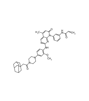 C=CC(=O)Nc1cccc(-n2c(=O)cc(C)c3cnc(Nc4ccc(N5CCN(C(=O)CC67CC8CC(CC(C8)C6)C7)CC5)cc4OC)nc32)c1